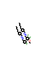 CC=CCCc1ccc(C=NN=Cc2ccc(F)cc2)cc1.CC=CCCc1ccc(C=NN=Cc2ccc(OCC)c(F)c2F)cc1